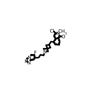 Cn1c(Cl)cc2c(CC3CC4(C3)CN(CCCc3cc5nncn5cc3F)C4)cccc2c1=O